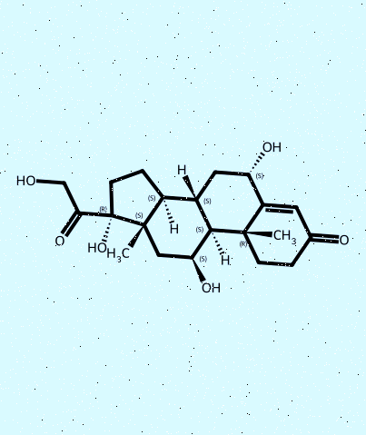 C[C@]12CCC(=O)C=C1[C@@H](O)C[C@@H]1[C@@H]2[C@@H](O)C[C@@]2(C)[C@H]1CC[C@]2(O)C(=O)CO